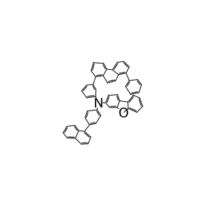 c1ccc(-c2cccc3c2ccc2c(-c4cccc(N(c5ccc(-c6cccc7ccccc67)cc5)c5ccc6c(c5)oc5ccccc56)c4)cccc23)cc1